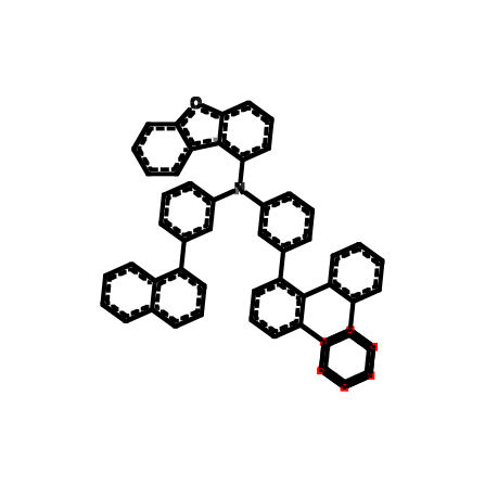 c1ccc(-c2ccccc2-c2c(-c3ccccc3)cccc2-c2cccc(N(c3cccc(-c4cccc5ccccc45)c3)c3cccc4oc5ccccc5c34)c2)cc1